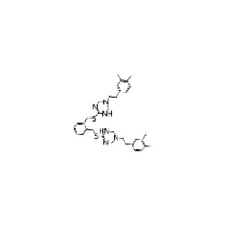 Cc1ccc(CCN2CN=C(SCc3ccccc3CSC3=NCN(CCc4ccc(C)c(C)c4)CN3)NC2)cc1C